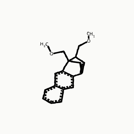 COCC1C=C2CC1(COC)c1cc3ccccc3cc12